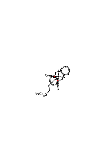 O=C1C(CCS(=O)(=O)O)C(=O)C2C3c4ccccc4C(c4ccccc43)C12